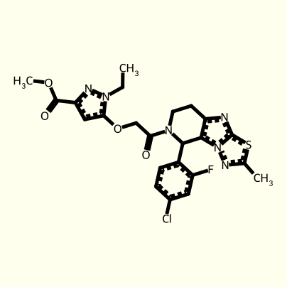 CCn1nc(C(=O)OC)cc1OCC(=O)N1CCc2nc3sc(C)nn3c2C1c1ccc(Cl)cc1F